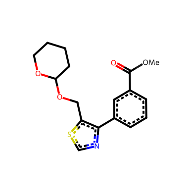 COC(=O)c1cccc(-c2ncsc2COC2CCCCO2)c1